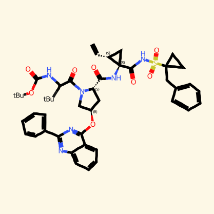 C=C[C@@H]1C[C@]1(NC(=O)[C@@H]1C[C@@H](Oc2nc(-c3ccccc3)nc3ccccc23)CN1C(=O)C(NC(=O)OC(C)(C)C)C(C)(C)C)C(=O)NS(=O)(=O)C1(Cc2ccccc2)CC1